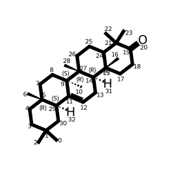 CC1(C)CC[C@]2(C)CC[C@]3(C)C(=CC[C@@H]4[C@@]5(C)CCC(=O)C(C)(C)C5CC[C@]43C)[C@H]2C1